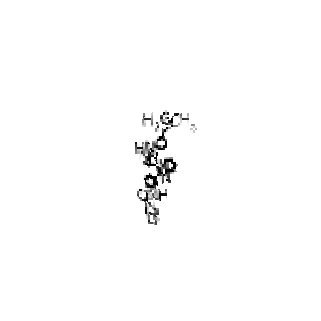 CN(C)CCc1cccc(Nc2nccc(-c3c(-c4cccc(NC(=O)N5CCOCC5)c4)nc4ccccn34)n2)c1